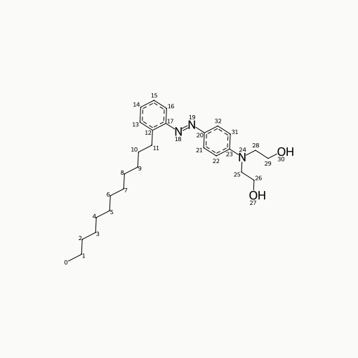 CCCCCCCCCCCCc1ccccc1N=Nc1ccc(N(CCO)CCO)cc1